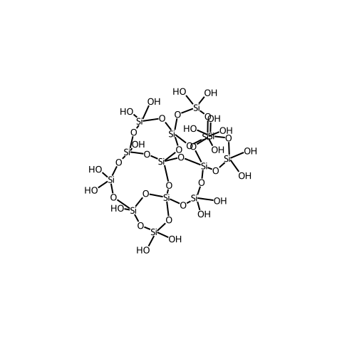 O[Si]1(O)O[Si]2(O)O[Si](O)(O)O[Si]3(O[Si](O)(O)O[Si]4(O[Si](O)(O)O[Si](O)(O)O4)O[Si]4(O[Si](O)(O1)O[Si](O)(O)O[Si]1(O[Si](O)(O)O[Si](O)(O)O1)O4)O3)O2